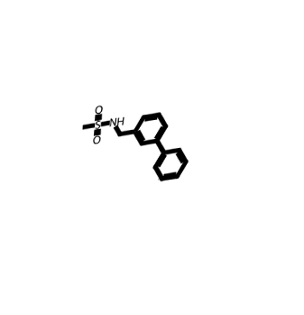 CS(=O)(=O)NCc1cccc(-c2c[c]ccc2)c1